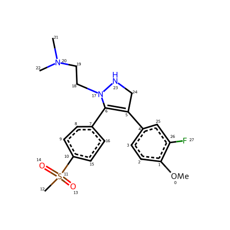 COc1ccc(C2=C(c3ccc(S(C)(=O)=O)cc3)N(CCN(C)C)NC2)cc1F